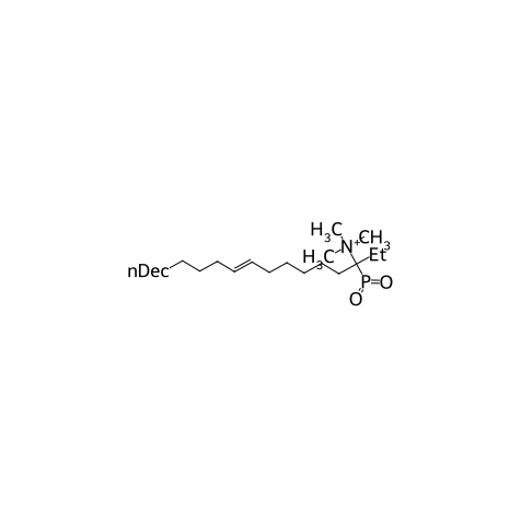 CCCCCCCCCCCCCC=CCCCCCC(CC)(P(=O)=O)[N+](C)(C)C